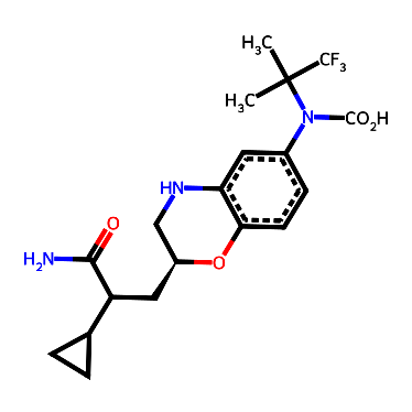 CC(C)(N(C(=O)O)c1ccc2c(c1)NC[C@H](CC(C(N)=O)C1CC1)O2)C(F)(F)F